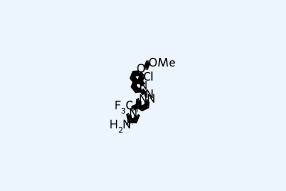 COCCOc1ccc2ccc(-c3nnc4ccc([C@@H](N5CC[C@H](N)C5)C(F)(F)F)cn34)nc2c1Cl